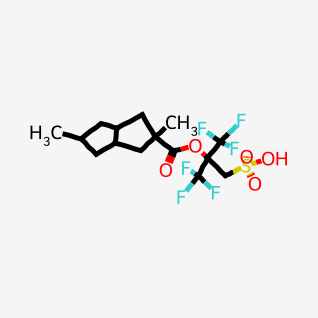 CC1CC2CC(C)(C(=O)OC(CS(=O)(=O)O)(C(F)(F)F)C(F)(F)F)CC2C1